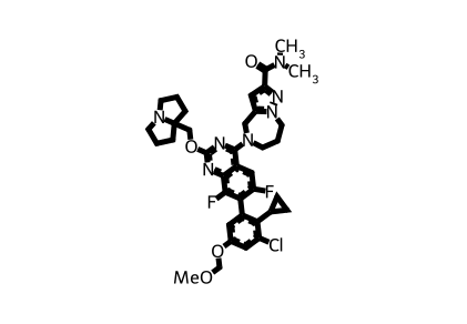 COCOc1cc(Cl)c(C2CC2)c(-c2c(F)cc3c(N4CCCn5nc(C(=O)N(C)C)cc5C4)nc(OCC45CCCN4CCC5)nc3c2F)c1